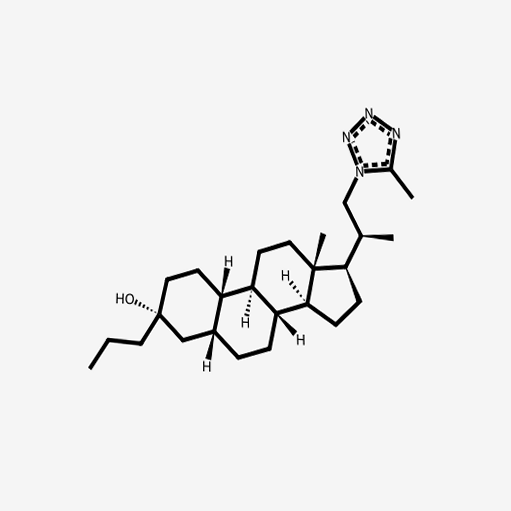 CCC[C@@]1(O)CC[C@H]2[C@H](CC[C@@H]3[C@@H]2CC[C@]2(C)[C@@H]([C@H](C)Cn4nnnc4C)CC[C@@H]32)C1